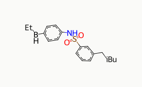 CCBc1ccc(NS(=O)(=O)c2cccc(CC(C)CC)c2)cc1